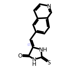 O=C1NC(=S)N/C1=C\c1ccc2cnccc2c1